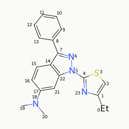 CCc1csc(-n2nc(-c3ccccc3)c3ccc(N(C)C)cc32)n1